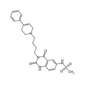 CS(=O)(=O)Nc1ccc2[nH]c(=O)n(CCCCN3CC=C(c4ccccc4)CC3)c(=O)c2c1